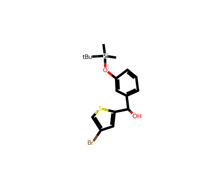 CC(C)(C)[Si](C)(C)Oc1cccc(C(O)c2cc(Br)cs2)c1